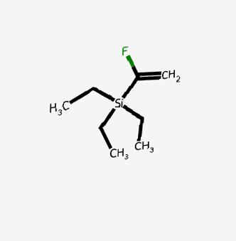 C=C(F)[Si](CC)(CC)CC